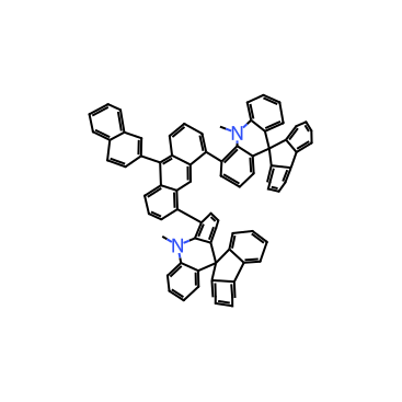 CN1c2ccccc2C2(c3ccccc3-c3ccccc32)c2cccc(-c3cccc4c(-c5ccc6ccccc6c5)c5cccc(-c6cccc7c6N(C)c6ccccc6C76c7ccccc7-c7ccccc76)c5cc34)c21